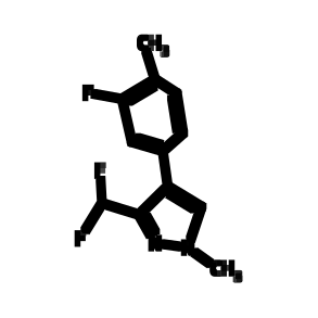 Cc1ccc(-c2cn(C)nc2C(F)F)cc1F